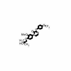 COc1cc(-n2ccnc(Sc3ccc(OC(F)(F)F)cc3)c2=O)ccc1OCC(C)(C)O